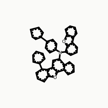 c1ccc(-c2ccc(N(c3cc4c(oc5cccc(-c6ccccc6)c54)c4ccccc34)c3cccc4c3oc3ccccc34)cc2)cc1